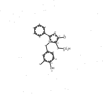 Cc1cc(Cn2c(-c3ccccc3)nc(Cl)c2CC(=O)O)ccc1O